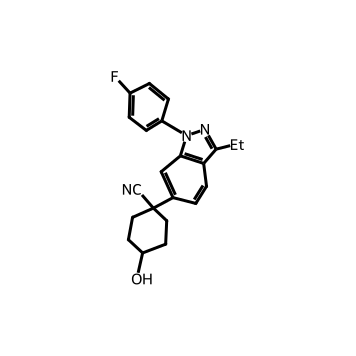 CCc1nn(-c2ccc(F)cc2)c2cc(C3(C#N)CCC(O)CC3)ccc12